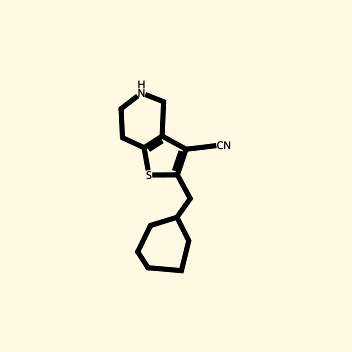 N#Cc1c(CC2CCCCC2)sc2c1CNCC2